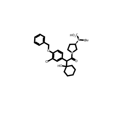 CC(C)(C)N(C(=O)O)[C@@H]1CCN(C(=O)C(c2ccc(OCc3ccccc3)c(Cl)c2)C2(O)CCCCC2)C1